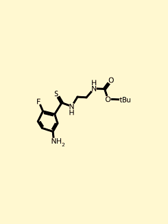 CC(C)(C)OC(=O)NCCNC(=S)c1cc(N)ccc1F